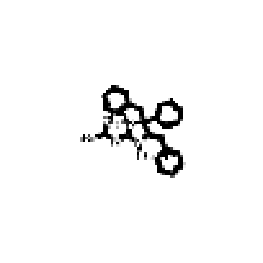 CCC(C)C(=O)N=C1N(C(=O)O)C(=Cc2ccccc2)C(Cc2ccccc2)(c2ccccc2)N1C